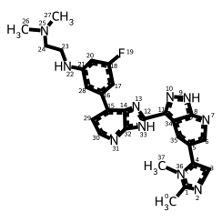 Cc1ncc(-c2cnc3[nH]nc(-c4nc5c(-c6cc(F)cc(NCCN(C)C)c6)ccnc5[nH]4)c3c2)n1C